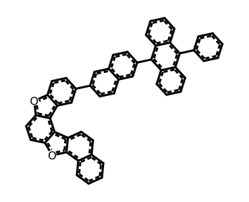 c1ccc(-c2c3ccccc3c(-c3ccc4cc(-c5ccc6oc7ccc8oc9c%10ccccc%10ccc9c8c7c6c5)ccc4c3)c3ccccc23)cc1